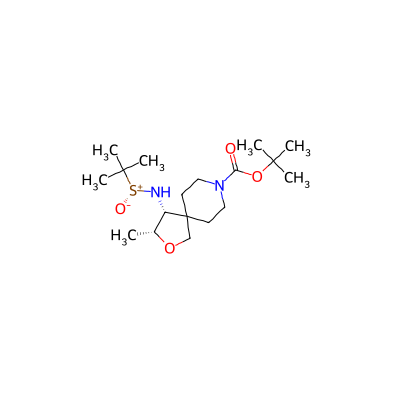 C[C@H]1OCC2(CCN(C(=O)OC(C)(C)C)CC2)[C@H]1N[S@+]([O-])C(C)(C)C